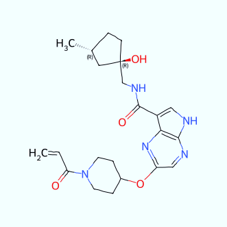 C=CC(=O)N1CCC(Oc2cnc3[nH]cc(C(=O)NC[C@@]4(O)CC[C@@H](C)C4)c3n2)CC1